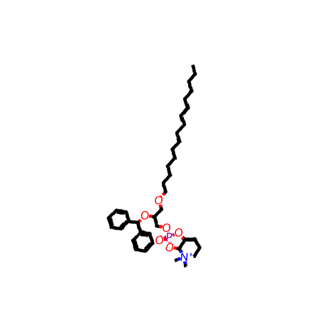 CCCCCCCCCCCCCCCCOCC(COP1(=O)OC2CCC[N+](C)(C)C2O1)OC(c1ccccc1)c1ccccc1